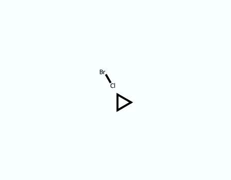 C1CC1.ClBr